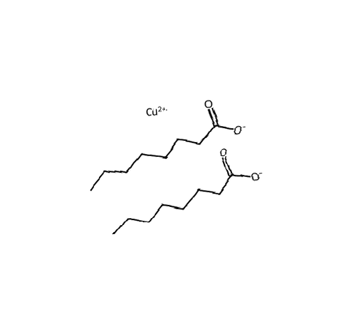 CCCCCCCC(=O)[O-].CCCCCCCC(=O)[O-].[Cu+2]